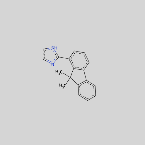 CC1(C)c2ccccc2-c2cccc(-c3ncc[nH]3)c21